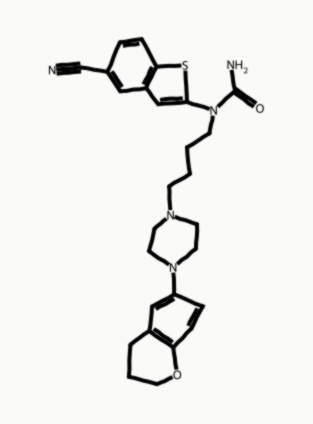 N#Cc1ccc2sc(N(CCCCN3CCN(c4ccc5c(c4)CCCO5)CC3)C(N)=O)cc2c1